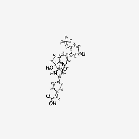 CN(C(=O)O)c1ccc(-c2cnc(C3(O)CCc4cc(-c5cc(Cl)ccc5OC(F)(F)F)c[n+]([O-])c43)[nH]2)cc1